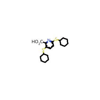 O=C(O)c1nc(SC2CCCCC2)ccc1SC1CCCCC1